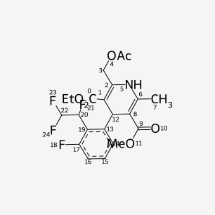 CCOC(=O)C1=C(COC(C)=O)NC(C)=C(C(=O)OC)C1c1cccc(F)c1C(F)C(F)F